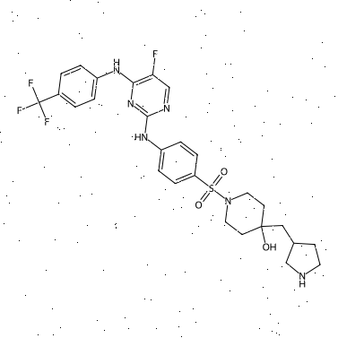 O=S(=O)(c1ccc(Nc2ncc(F)c(Nc3ccc(C(F)(F)F)cc3)n2)cc1)N1CCC(O)(CC2CCNC2)CC1